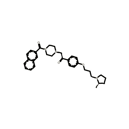 C[C@@H]1CCCN1CCCOc1ccc(C(=O)CN2CCN(C(=O)c3ccc4ccccc4c3)CC2)cc1